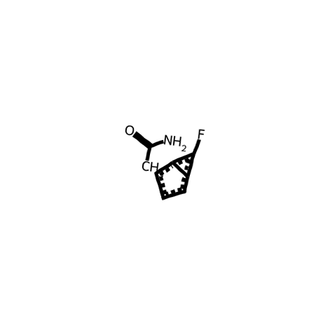 CC(N)=O.Fc1c2cccc1-2